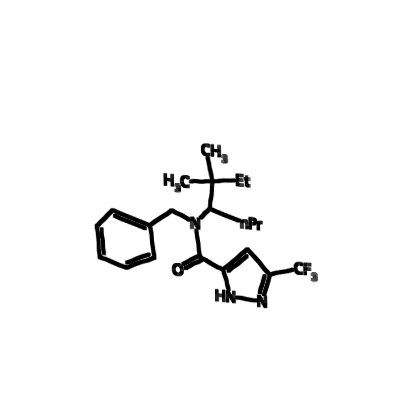 CCCC(N(Cc1ccccc1)C(=O)c1cc(C(F)(F)F)n[nH]1)C(C)(C)CC